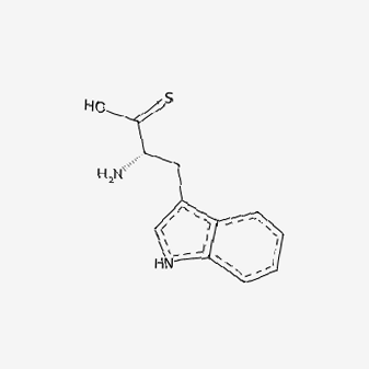 N[C@@H](Cc1c[nH]c2ccccc12)C(O)=S